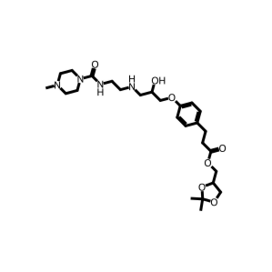 CN1CCN(C(=O)NCCNCC(O)COc2ccc(CCC(=O)OCC3COC(C)(C)O3)cc2)CC1